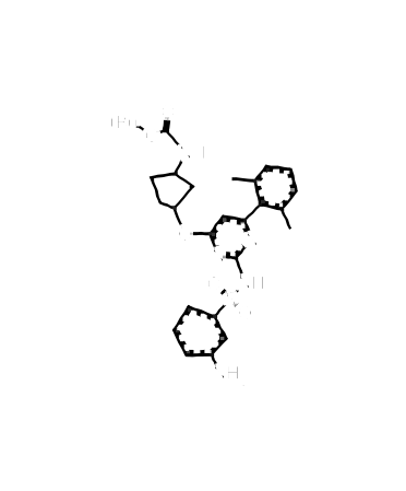 Cc1cccc(C)c1-c1cc(OC2CCC(NC(=O)OC(C)(C)C)C2)nc(NS(=O)(=O)c2cccc(N)c2)n1